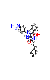 Nc1ccc(-c2cnc(NC(=O)CCCc3ccccc3)c(C(O)c3ccccc3)n2)cc1